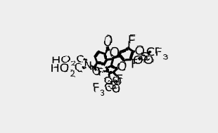 O=C(O)CN(CC(=O)O)C(=O)c1ccc2c(c1)C1(OC2=O)c2cc(F)c(OS(=O)(=O)C(F)(F)F)c(F)c2Oc2c1cc(F)c(OS(=O)(=O)C(F)(F)F)c2F